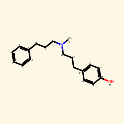 CCN(CCCc1ccccc1)CCCc1ccc(O)cc1